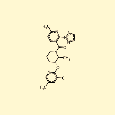 Cc1ccc(C(=O)N2CCC[C@@H](Oc3ncc(C(F)(F)F)cc3Cl)[C@@H]2C)c(-n2nccn2)n1